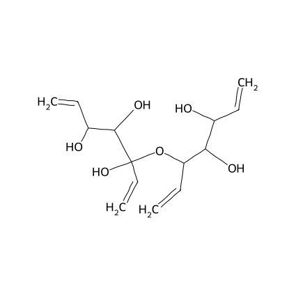 C=CC(O)C(O)C(C=C)OC(O)(C=C)C(O)C(O)C=C